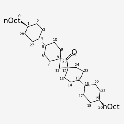 CCCCCCCC[C@H]1CC[C@H](C2CCC3(CC2)CC2(CCC([C@H]4CC[C@H](CCCCCCCC)CC4)CC2)C3=O)CC1